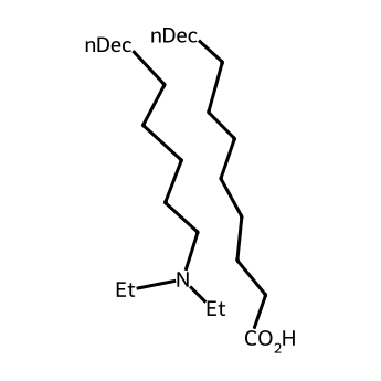 CCCCCCCCCCCCCCCCCC(=O)O.CCCCCCCCCCCCCCCN(CC)CC